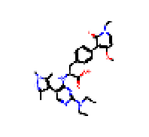 CCN(CC)c1ncc(-c2c(C)nn(C)c2C)c(N[C@@H](Cc2ccc(-c3c(OC)ccn(CC)c3=O)cc2)C(=O)O)n1